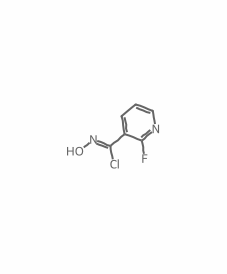 O/N=C(\Cl)c1cccnc1F